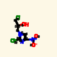 O=[N+]([O-])c1cn(C[C@H](O)CCl)c(Cl)n1